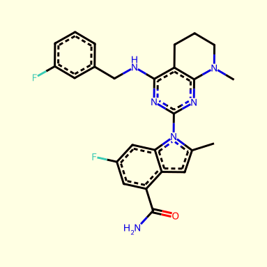 Cc1cc2c(C(N)=O)cc(F)cc2n1-c1nc(NCc2cccc(F)c2)c2c(n1)N(C)CCC2